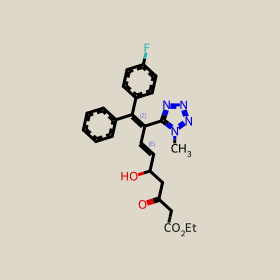 CCOC(=O)CC(=O)CC(O)/C=C/C(=C(\c1ccccc1)c1ccc(F)cc1)c1nnnn1C